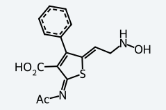 CC(=O)N=C1SC(=CCNO)C(c2ccccc2)=C1C(=O)O